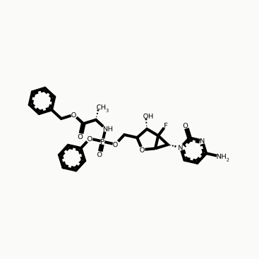 C[C@H](NP(=O)(OCC1OC2[C@@H](n3ccc(N)nc3=O)C2(F)[C@H]1O)Oc1ccccc1)C(=O)OCc1ccccc1